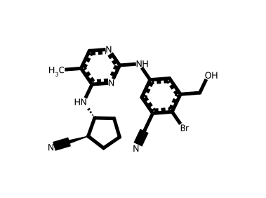 Cc1cnc(Nc2cc(C#N)c(Br)c(CO)c2)nc1N[C@@H]1CCC[C@H]1C#N